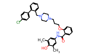 Cc1cc(NC(=O)c2ccccc2OCCCN2CCN(Cc3ccccc3-c3ccc(Cl)cc3)CC2)cc(C)c1O